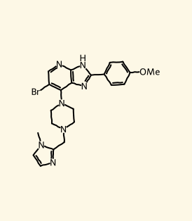 COc1ccc(-c2nc3c(N4CCN(Cc5nccn5C)CC4)c(Br)cnc3[nH]2)cc1